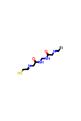 CCC=NCC(=O)NCNC(=O)CN=CCS